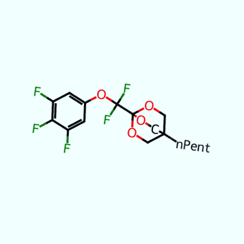 CCCCCC12COC(C(F)(F)Oc3cc(F)c(F)c(F)c3)(OC1)OC2